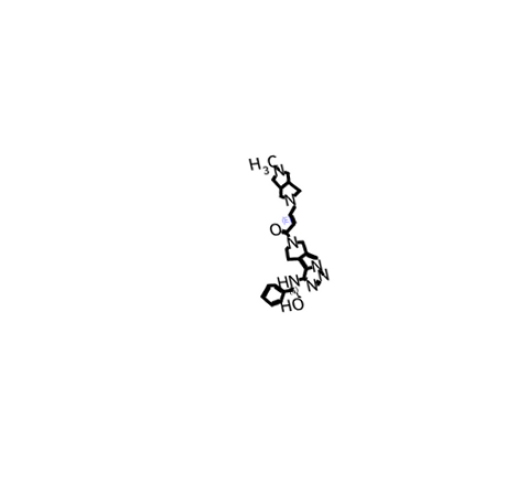 CN1CC2CN(C/C=C/C(=O)N3CCc4c(cn5ncnc(N[C@H](CO)c6ccccc6)c45)C3)CC2C1